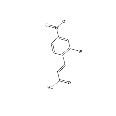 O=C(O)C=Cc1ccc([N+](=O)[O-])cc1Br